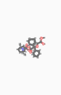 COC(=O)COC(C(=O)O[C@H]1C[C@H]2CC[C@@H](C1)N2C(=O)O)(c1ccccc1)c1ccccc1